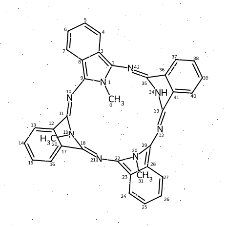 Cn1c2c3ccccc3c1/N=c1/c3ccccc3/c(n1C)=N/c1c3ccccc3c(n1C)/N=c1\[nH]/c(c3ccccc13)=N\2